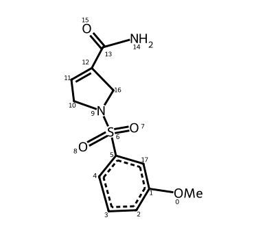 COc1cccc(S(=O)(=O)N2CC=C(C(N)=O)C2)c1